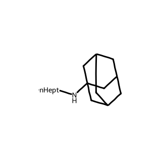 CCCCCC[CH]NC12CC3CC(CC(C3)C1)C2